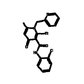 CCc1c(C(=O)Nc2ccccc2Cl)c(=O)cc(C)n1Cc1ccccn1